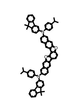 CC(C)c1ccc(N(c2ccc3c(c2)-c2ccccc2C3(C)C)c2ccc3cc4c(cc3c2)oc2c4ccc3oc4cc5cc(N(c6ccc(C(C)C)cc6)c6ccc7c(c6)-c6ccccc6C7(C)C)ccc5cc4c32)cc1